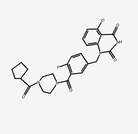 O=C(c1cc(Cn2c(=O)[nH]c(=O)c3c(Cl)cccc32)ccc1F)N1CCN(C(=O)C2CCCC2)CC1